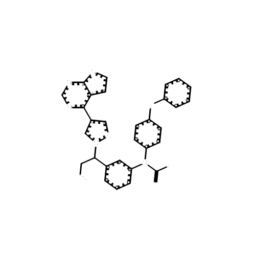 N#CCC(c1cccc(N(C(=O)C(F)(F)F)c2ccc(Oc3ccccc3)cc2)c1)n1cc(-c2ncnc3[nH]ccc23)cn1